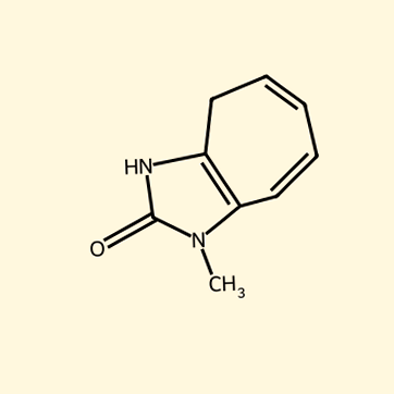 Cn1c2c([nH]c1=O)CC=CC=C2